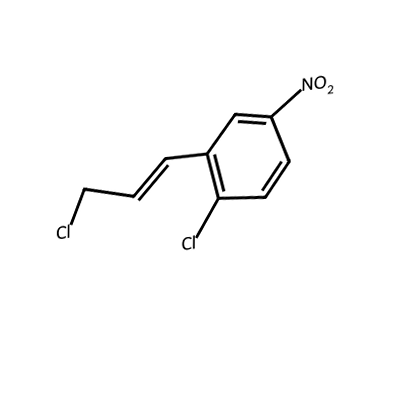 O=[N+]([O-])c1ccc(Cl)c(/C=C/CCl)c1